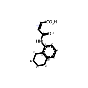 O=C(O)/C=C\C(=O)Nc1cccc2c1CCCC2